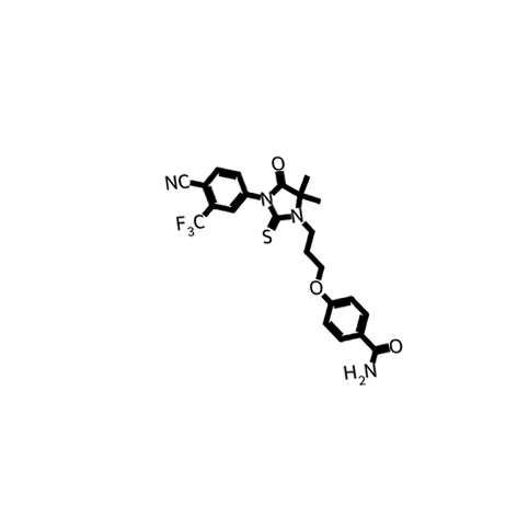 CC1(C)C(=O)N(c2ccc(C#N)c(C(F)(F)F)c2)C(=S)N1CCCOc1ccc(C(N)=O)cc1